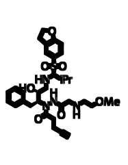 C#CCCC(=O)N(NC(=O)CNCCOC)[C@@H](Cc1ccccc1)[C@H](O)CNC(C(C)C)S(=O)(=O)c1ccc2c(c1)CCO2